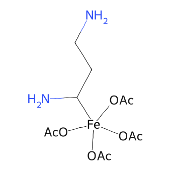 CC(=O)[O][Fe]([O]C(C)=O)([O]C(C)=O)([O]C(C)=O)[CH](N)CCN